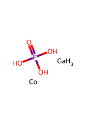 O=P(O)(O)O.[Co].[GaH3]